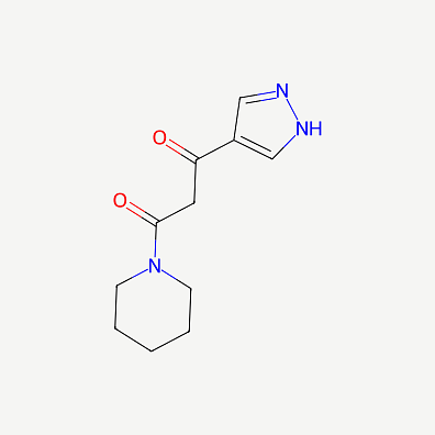 O=C(CC(=O)N1CCCCC1)c1cn[nH]c1